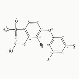 CS(=O)(=O)c1ccc(Oc2cc(F)cc(Cl)c2)c(Br)c1CCO